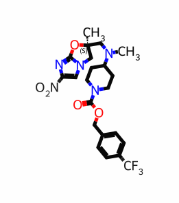 CN(C[C@@]1(C)Cn2cc([N+](=O)[O-])nc2O1)C1CCN(C(=O)OCc2ccc(C(F)(F)F)cc2)CC1